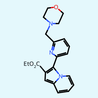 CCOC(=O)c1cc2ccccn2c1-c1cccc(CN2CCOCC2)n1